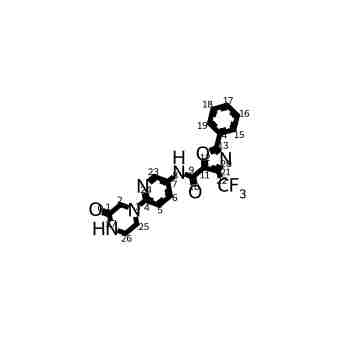 O=C1CN(c2ccc(NC(=O)c3oc(-c4ccccc4)nc3C(F)(F)F)cn2)CCN1